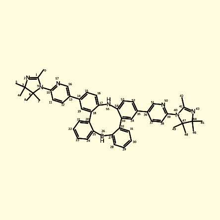 CC1=NC(C)(C)C(C)(C)N1c1ccc(-c2ccc3c(c2)-c2ccccc2Bc2ccccc2-c2cc(-c4ccc(N5C(C)=NC(C)(C)C5(C)C)nc4)ccc2N3)cn1